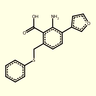 Nc1c(-c2ccoc2)ccc(CSc2ccccc2)c1C(=O)O